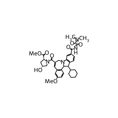 COC(=O)[C@@H]1C[C@@H](O)CN1C(=O)C1=Cc2cc(OC)ccc2C2C(C3CCCCC3)c3ccc(C(=O)NS(=O)(=O)N(C)C)cc3N2C1